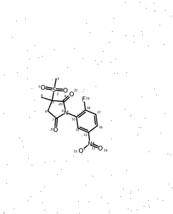 CC1(S(C)(=O)=O)CC(=O)N(c2cc([N+](=O)[O-])ccc2F)C1=O